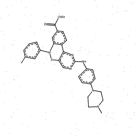 COC(=O)c1ccc2c(c1)N(c1cccc(C)c1)Sc1cnc(Nc3ccc(N4CCN(C)CC4)cc3)nc1-2